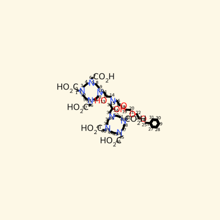 O=C(O)CN1CCN(CC(=O)O)CCN(CC(O)CN(CCOCCOCCOCc2ccccc2)CC(O)CN2CCN(CC(=O)O)CCN(CC(=O)O)CCN(C(=O)O)CC2)CCN(CC(=O)O)CC1